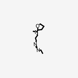 CCN=C=NCCCN(C)C1CCCO1